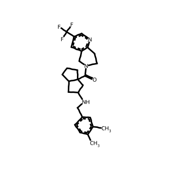 Cc1ccc(CNC2CC3CCCC3(C(=O)N3CCc4ncc(C(F)(F)F)cc4C3)C2)cc1C